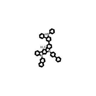 CC12CC(c3ccc(Nc4ccccc4)c(-c4ccccc4)c3)=CC=C1N(c1ccc(-c3ccccc3)cc1)c1cc3c(cc12)c1ccccc1n3-c1ccc2ccccc2c1